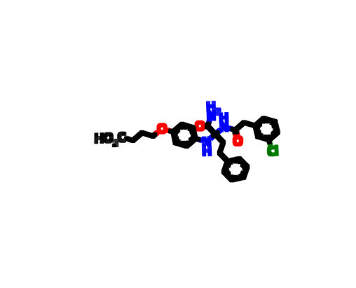 NC(=O)C(CCc1ccccc1)(NC(=O)Cc1cccc(Cl)c1)Nc1ccc(OCCCC(=O)O)cc1